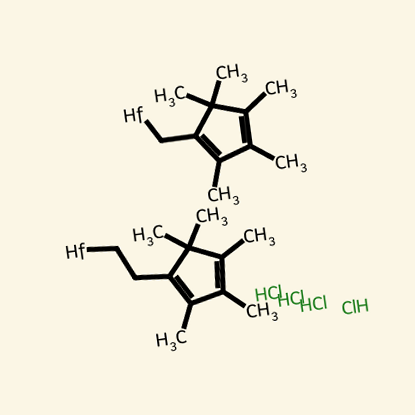 CC1=C(C)C(C)(C)C(C[CH2][Hf])=C1C.CC1=C(C)C(C)(C)C([CH2][Hf])=C1C.Cl.Cl.Cl.Cl